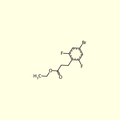 CCOC(=O)CCc1c(F)cc(Br)cc1F